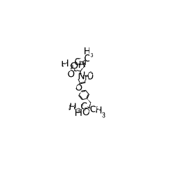 CC(C)CC(C(=O)O)N1CC(Oc2ccc(CC(C)(C)O)cc2)=CC1=O